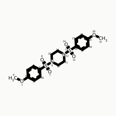 COc1ccc(S(=O)(=O)N2CCN(S(=O)(=O)c3ccc(OC)cc3)CC2)cc1